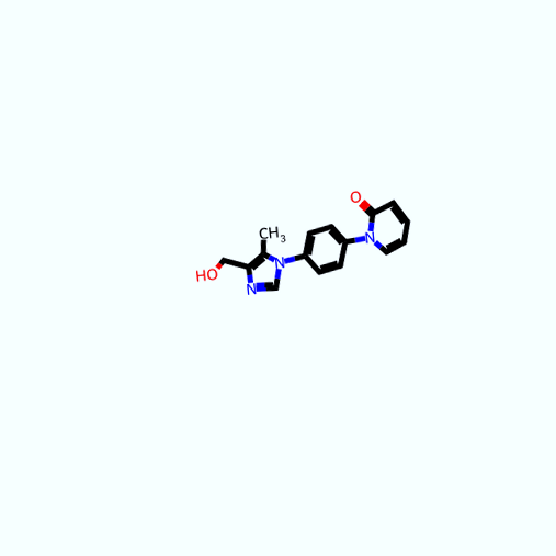 Cc1c(CO)ncn1-c1ccc(-n2ccccc2=O)cc1